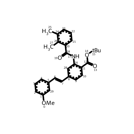 COc1cccc(C=Cc2ccc(C(=O)OC(C)(C)C)c(NC(=O)c3cccc(C)c3C)c2)c1